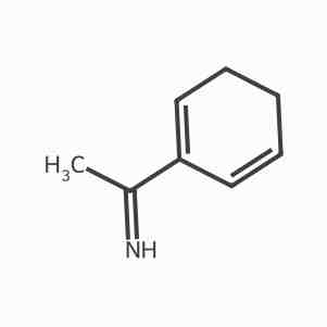 CC(=N)C1=CCCC=C1